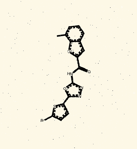 Cc1cccc2cc(C(=O)Nc3nnc(-c4ccc(Br)s4)o3)oc12